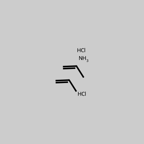 C=CC.C=CC.Cl.Cl.N